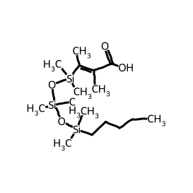 CCCCC[Si](C)(C)O[Si](C)(C)O[Si](C)(C)/C(C)=C(\C)C(=O)O